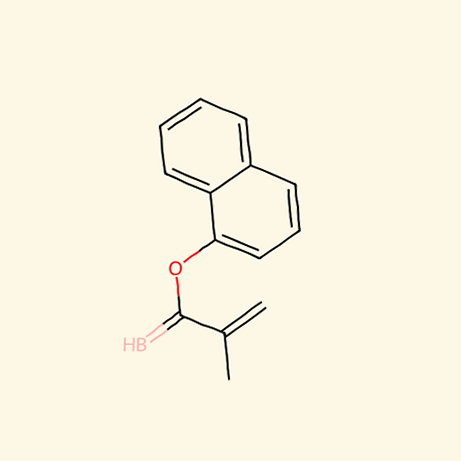 B=C(Oc1cccc2ccccc12)C(=C)C